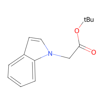 CC(C)(C)OC(=O)Cn1ccc2ccccc21